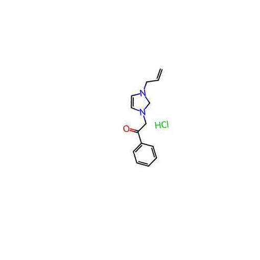 C=CCN1C=CN(CC(=O)c2ccccc2)C1.Cl